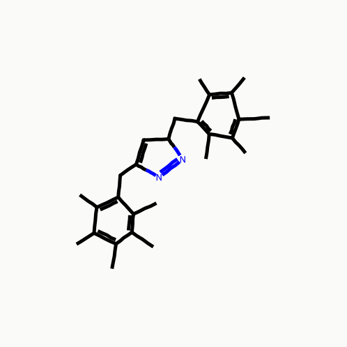 Cc1c(C)c(C)c(CC2=CC(Cc3c(C)c(C)c(C)c(C)c3C)N=N2)c(C)c1C